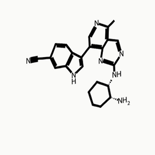 Cc1ncc(-c2c[nH]c3cc(C#N)ccc23)c2nc(N[C@H]3CCCC[C@H]3N)ncc12